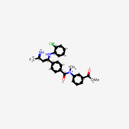 COC(=O)c1cccc(N(C)C(=O)c2ccc(/C(=C/C(=N)C(F)(F)F)Nc3ccccc3Cl)cc2)c1